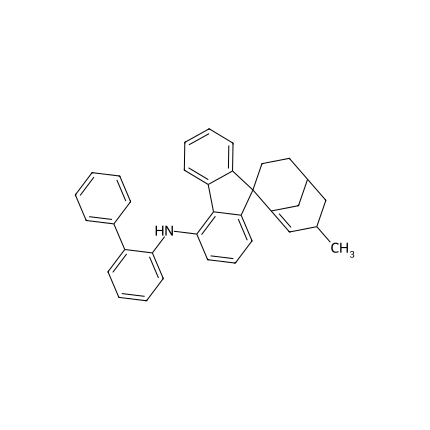 CC1C=C2CC(CCC23c2ccccc2-c2c(Nc4ccccc4-c4ccccc4)cccc23)C1